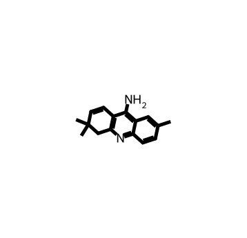 Cc1ccc2nc3c(c(N)c2c1)C=CC(C)(C)C3